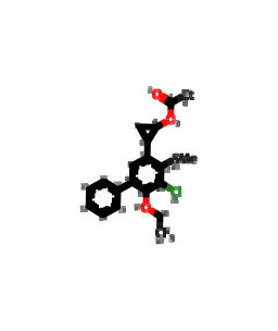 CCC(=O)OC1CC1c1cc(-c2ccccc2)c(OCC(F)(F)F)c(Cl)c1SC